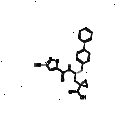 O=C(N[C@H](Cc1ccc(-c2ccccc2)cc1)CC1(C(=O)O)CC1)c1cc(O)no1